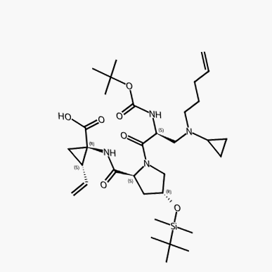 C=CCCCN(C[C@H](NC(=O)OC(C)(C)C)C(=O)N1C[C@H](O[Si](C)(C)C(C)(C)C)C[C@H]1C(=O)N[C@]1(C(=O)O)C[C@H]1C=C)C1CC1